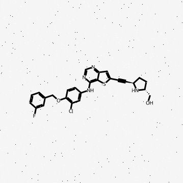 OC[C@H]1CC[C@H](C#Cc2cc3ncnc(Nc4ccc(OCc5cccc(F)c5)c(Cl)c4)c3s2)N1